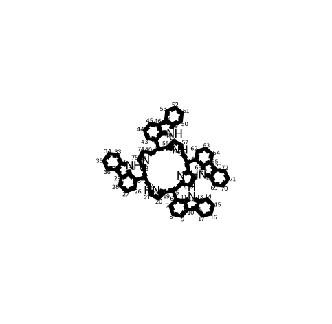 C1=Cc2nc1c(-c1cccc3c1[nH]c1ccccc13)c1ccc([nH]1)c(-c1cccc3c1[nH]c1ccccc13)c1nc(c(-c3cccc4c3[nH]c3ccccc34)c3ccc([nH]3)c2-c2cccc3c2[nH]c2ccccc23)C=C1